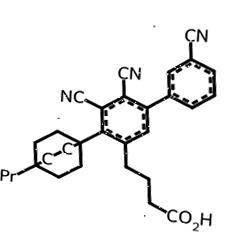 CCCC12CCC(c3c(CCCC(=O)O)cc(-c4cccc(C#N)c4)c(C#N)c3C#N)(CC1)CC2